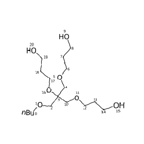 CCCCOCC(COCCCO)(COCCCO)OCCCO